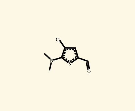 CN(C)c1sc(C=O)cc1Cl